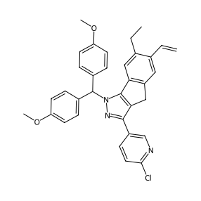 C=Cc1cc2c(cc1CC)-c1c(c(-c3ccc(Cl)nc3)nn1C(c1ccc(OC)cc1)c1ccc(OC)cc1)C2